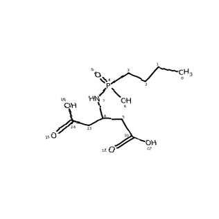 CCCCP(=O)(O)NC(CC(=O)O)CC(=O)O